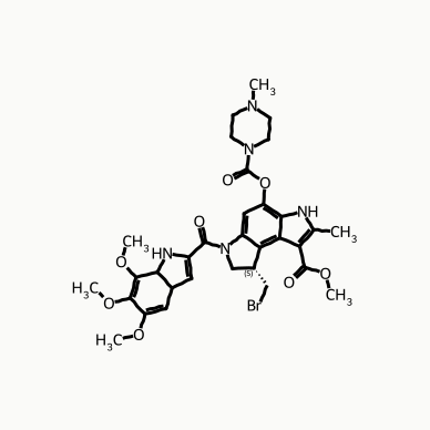 COC(=O)c1c(C)[nH]c2c(OC(=O)N3CCN(C)CC3)cc3c(c12)[C@H](CBr)CN3C(=O)C1=CC2C=C(OC)C(OC)=C(OC)C2N1